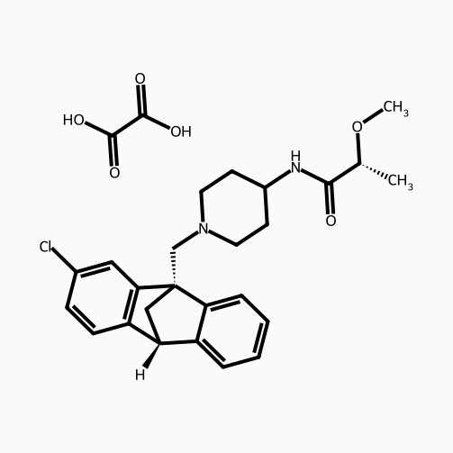 CO[C@H](C)C(=O)NC1CCN(C[C@@]23C[C@H](c4ccccc42)c2ccc(Cl)cc23)CC1.O=C(O)C(=O)O